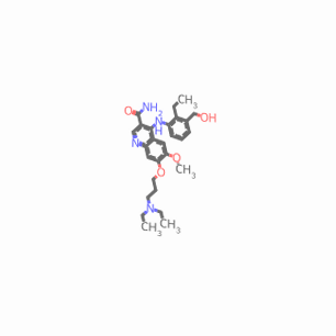 CCc1c(CO)cccc1Nc1c(C(N)=O)cnc2cc(OCCCN(CC)CC)c(OC)cc12